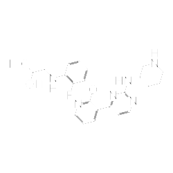 O[C@H](CNc1cccc(Oc2ncccc2-c2ccnc(N[C@H]3CCCNC3)n2)c1F)C(F)(F)F